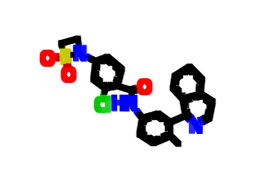 Cc1ccc(NC(=O)c2ccc(N3CCS3(=O)=O)cc2Cl)cc1-c1nccc2ccccc12